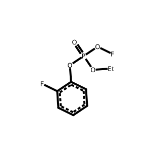 CCOP(=O)(OF)Oc1ccccc1F